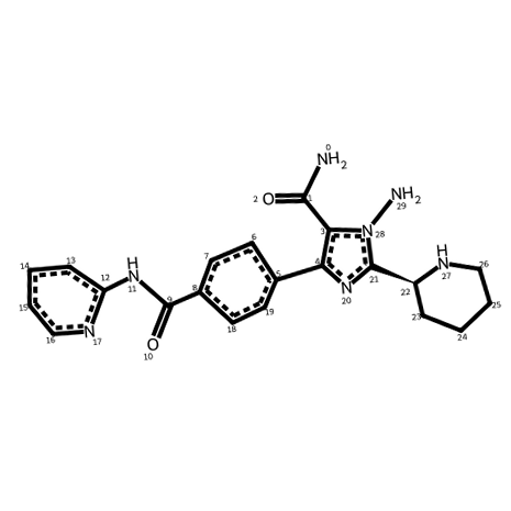 NC(=O)c1c(-c2ccc(C(=O)Nc3ccccn3)cc2)nc([C@@H]2CCCCN2)n1N